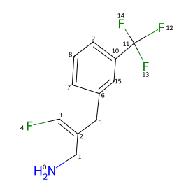 NCC(=CF)Cc1cccc(C(F)(F)F)c1